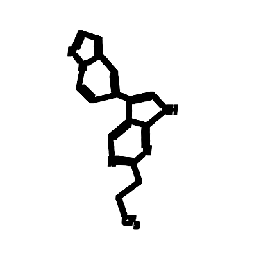 FC(F)(F)CCc1ncc2c(-c3ccn4nccc4c3)c[nH]c2n1